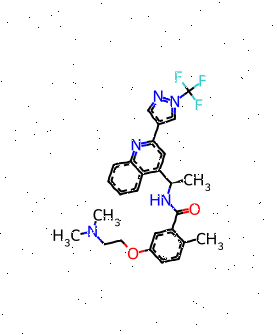 Cc1ccc(OCCN(C)C)cc1C(=O)N[C@H](C)c1cc(-c2cnn(C(F)(F)F)c2)nc2ccccc12